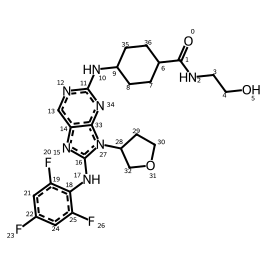 O=C(NCCO)C1CCC(Nc2ncc3nc(Nc4c(F)cc(F)cc4F)n(C4CCOC4)c3n2)CC1